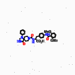 COc1cccc(OC)c1C(=O)Nc1ccc(CC(NC(=O)N2CCC3(CC2)C(=O)NCN3c2ccccc2)C(=O)O)cc1